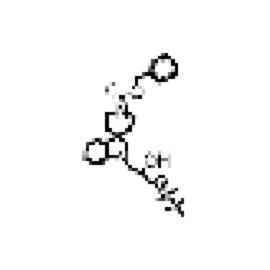 CC(C)(C)[Si](C)(C)OCC(O)CN1CC2(CCN(C(=O)OCc3ccccc3)CC2)c2ccccc21